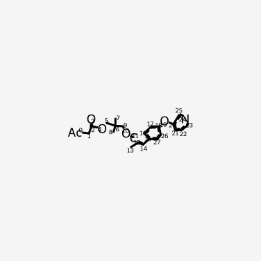 CC(=O)CC(=O)OCC(C)(C)COCC(C)=Cc1ccc(Oc2cccnc2)cc1